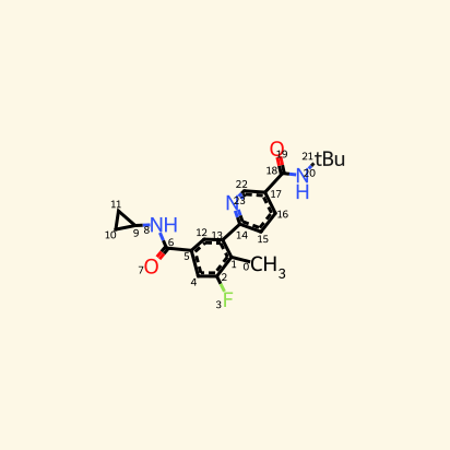 Cc1c(F)cc(C(=O)NC2CC2)cc1-c1ccc(C(=O)NC(C)(C)C)cn1